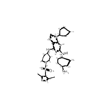 Cc1noc(C)c1S(=O)(=O)N1CCC(Nc2nc(N[C@H]3CC[C@H](N)CC3)nc3c2ncn3C2CCCC2)CC1